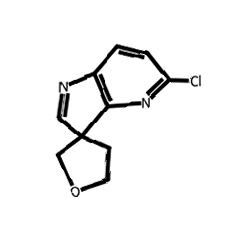 Clc1ccc2c(n1)C1(C=N2)CCOC1